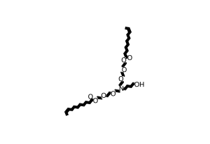 C/C=C\CCCCCCCC(=O)OCCOCCOCCN(CCCCO)CCOCCOCCOC(=O)CCCCCCC/C=C\C